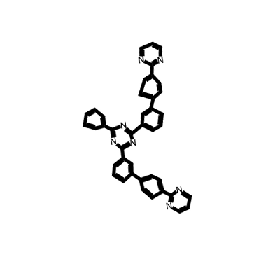 c1ccc(-c2nc(-c3cccc(-c4ccc(-c5ncccn5)cc4)c3)nc(-c3cccc(-c4ccc(-c5ncccn5)cc4)c3)n2)cc1